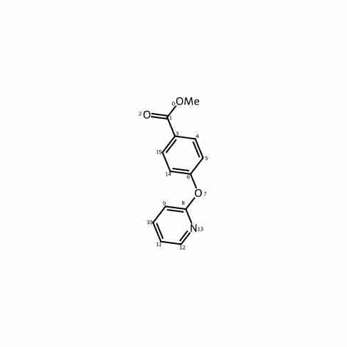 COC(=O)c1ccc(Oc2ccccn2)cc1